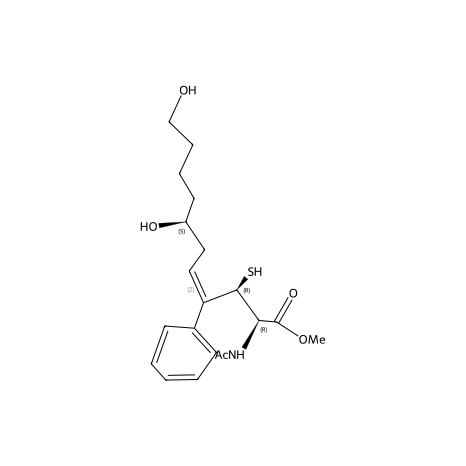 COC(=O)[C@@H](NC(C)=O)[C@H](S)/C(=C\C[C@@H](O)CCCCO)c1ccccc1